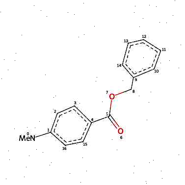 CNc1ccc(C(=O)OCc2ccccc2)cc1